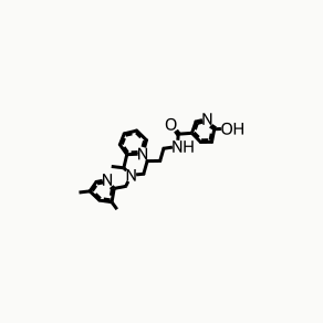 Cc1cnc(CN(CCCCNC(=O)c2ccc(O)nc2)C(C)c2ccccn2)c(C)c1